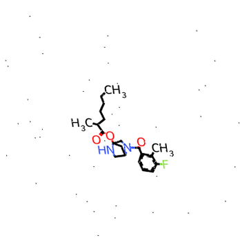 CCCCCC(C)C(=O)OC12CC(CN1)N(C(=O)c1cccc(F)c1C)C2